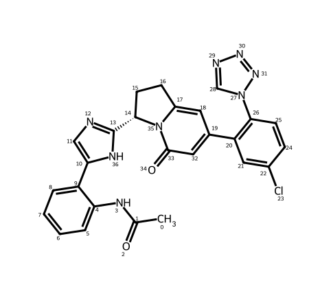 CC(=O)Nc1ccccc1-c1cnc([C@@H]2CCc3cc(-c4cc(Cl)ccc4-n4cnnn4)cc(=O)n32)[nH]1